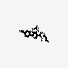 CCCC1=NOC(c2cnc3c([nH]c4cc(C#N)ccc43)c2NC(C)C)N1